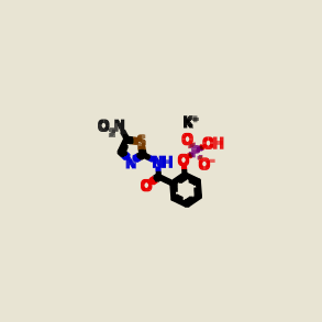 O=C(Nc1ncc([N+](=O)[O-])s1)c1ccccc1OP(=O)([O-])O.[K+]